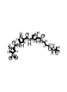 Cn1cc(NC(=O)c2cc(NC(=O)c3cc([N+](=O)[O-])cn3C)cn2C)cc1C(=O)NCCCO[Si](C)(C)C(C)(C)C